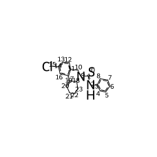 S=C(Nc1ccccc1)N(Cc1ccc(Cl)cc1)C1C=CCCC1